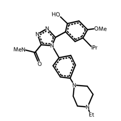 CCN1CCN(c2ccc(-n3c(C(=O)NC)nnc3-c3cc(C(C)C)c(OC)cc3O)cc2)CC1